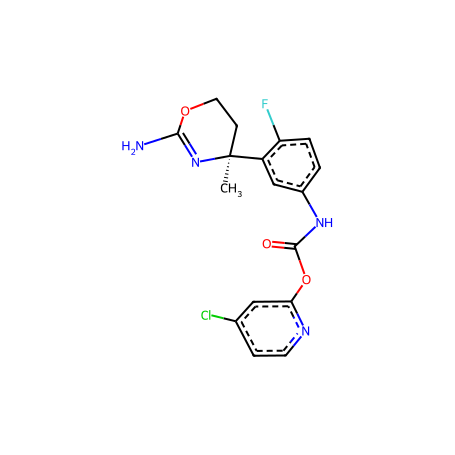 C[C@@]1(c2cc(NC(=O)Oc3cc(Cl)ccn3)ccc2F)CCOC(N)=N1